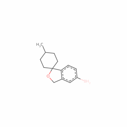 Bc1ccc2c(c1)COC21CCC(C)CC1